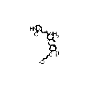 COCCCOc1cc(C[C@@H](CC(N)[C@@H](C)CN2CCCNC2=O)C(C)C)ccc1OC